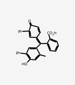 Cc1cc(O)c(C(C)C)cc1/C(=C1/C=CC(=O)C(C(C)C)=C1)c1ccccc1C(=O)O